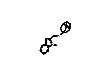 Cn1c(/C=N/C23CC4CC(C2)C(C4)C3)cc2ccccc21